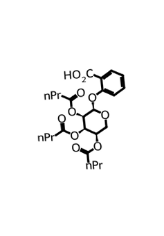 CCCC(=O)O[C@H]1[C@@H](Oc2ccccc2C(=O)O)OC[C@@H](OC(=O)CCC)[C@H]1OC(=O)CCC